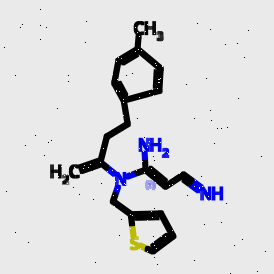 C=C(CCc1ccc(C)cc1)N(Cc1cccs1)/C(N)=C/C=N